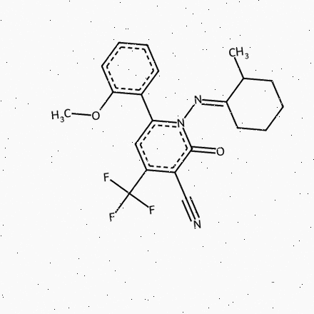 COc1ccccc1-c1cc(C(F)(F)F)c(C#N)c(=O)n1N=C1CCCCC1C